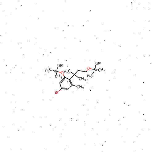 Cc1cc(Br)cc(O[Si](C)(C)C(C)(C)C)c1C(C)(C)CCO[Si](C)(C)C(C)(C)C